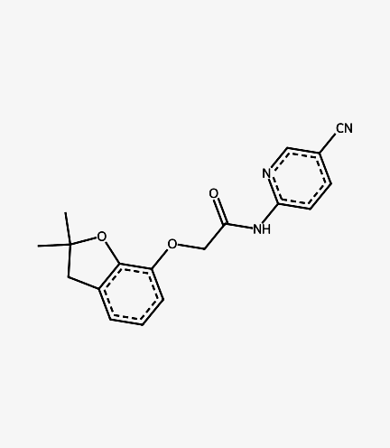 CC1(C)Cc2cccc(OCC(=O)Nc3ccc(C#N)cn3)c2O1